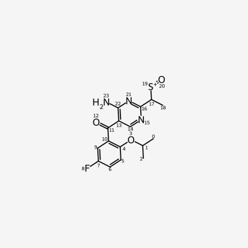 CC(C)Oc1ccc(F)cc1C(=O)c1cnc(C(C)[S+]=O)nc1N